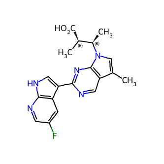 Cc1cn([C@H](C)[C@@H](C)C(=O)O)c2nc(-c3c[nH]c4ncc(F)cc34)ncc12